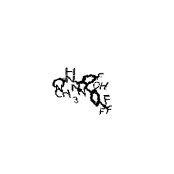 CN1CCC[C@@H](Nc2nnc(-c3ccc(C(F)(F)F)cc3O)c3cc(F)ccc23)C1